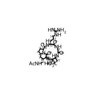 CC(=O)NC[C@@H]1CC2CCC3C(=O)N[C@@H](CCCNC(=N)N)C(=O)NCC(=O)NC(CC(=O)O)C(=O)N[C@H]1C(=O)N23